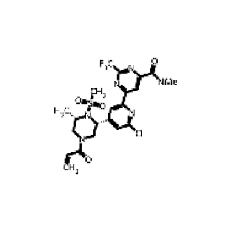 C=CC(=O)N1C[C@H](C)N(S(C)(=O)=O)[C@H](c2cc(Cl)nc(-c3cc(C(=O)NC)nc(C(F)(F)F)n3)c2)C1